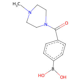 CN1CCN(C(=O)c2ccc(B(O)O)cc2)CC1